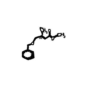 COC(=O)C[C@H](C)COCc1ccccc1